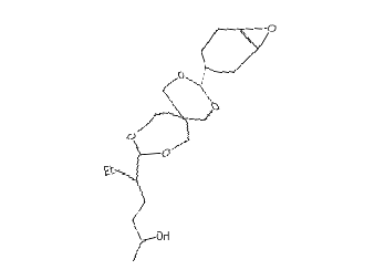 CCC(CCC(C)O)C1OCC2(CO1)COC(C1CCC3OC3C1)OC2